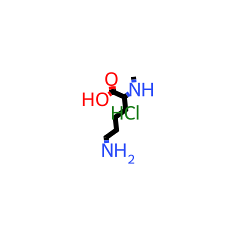 CNC(CCCCN)C(=O)O.Cl